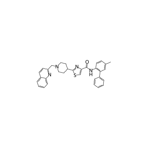 Cc1ccc(NC(=O)c2csc(C3CCN(Cc4ccc5ccccc5n4)CC3)n2)c(-c2ccccc2)c1